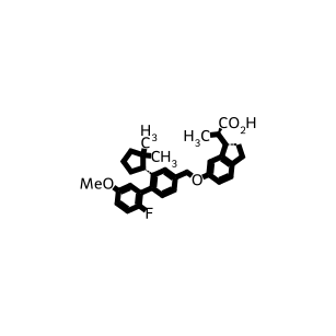 COc1ccc(F)c(-c2ccc(COc3ccc4c(c3)[C@H]([C@@H](C)C(=O)O)CC4)cc2[C@@H]2CCCC2(C)C)c1